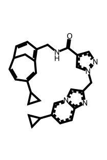 O=C(NCC1=C2C=C(C3CC3)C=CC(C=C1)C2)c1cnn(Cc2cn3cc(C4CC4)ccc3n2)c1